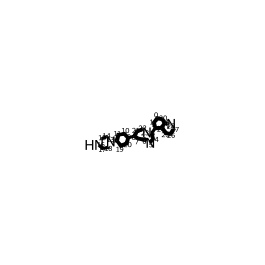 c1cc(-c2cnc3cc(-c4ccc(N5CCNCC5)cc4)ccn23)c2cccnc2c1